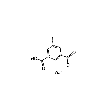 Cc1cc(C(=O)[O-])cc(C(=O)O)c1.[Na+]